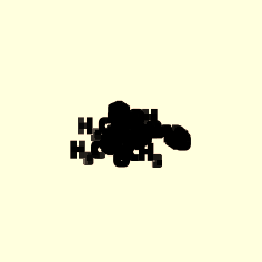 Cc1cc([C@@H](C)Nc2ccccc2C(=O)O)c2oc(-c3ccc(OCCN4CCOCC4)cc3)c(C)c(=O)c2c1